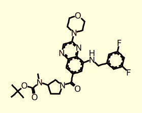 CN(C(=O)OC(C)(C)C)C1CCN(C(=O)c2cc(NCc3cc(F)cc(F)c3)c3nc(N4CCOCC4)cnc3c2)C1